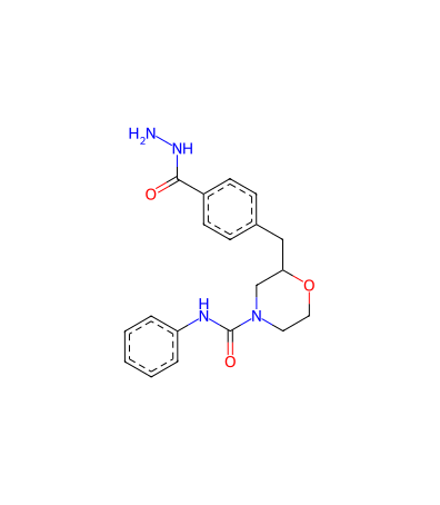 NNC(=O)c1ccc(CC2CN(C(=O)Nc3ccccc3)CCO2)cc1